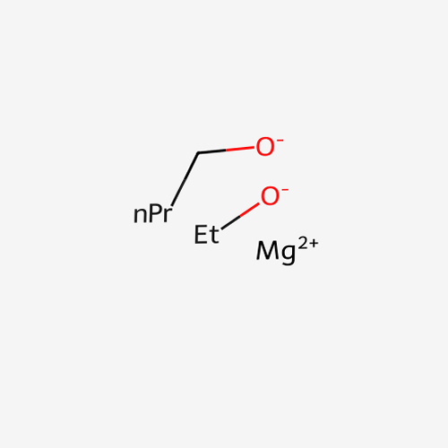 CCCC[O-].CC[O-].[Mg+2]